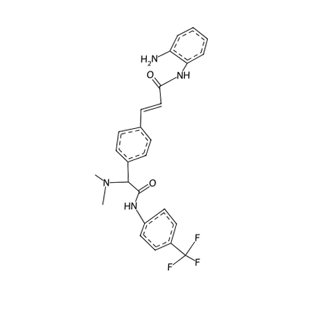 CN(C)C(C(=O)Nc1ccc(C(F)(F)F)cc1)c1ccc(C=CC(=O)Nc2ccccc2N)cc1